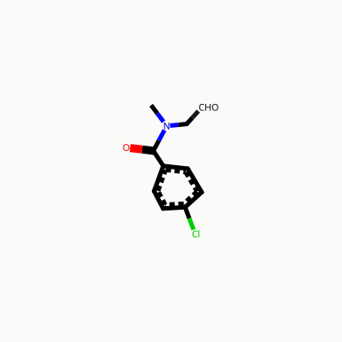 CN(CC=O)C(=O)c1ccc(Cl)cc1